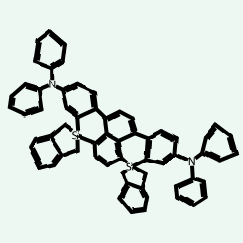 c1ccc(N(c2ccccc2)c2ccc3c(c2)[Si]2(Cc4ccccc4C2)c2ccc4c5c(ccc-3c25)-c2ccc(N(c3ccccc3)c3ccccc3)cc2[Si]42Cc3ccccc3C2)cc1